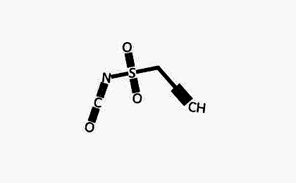 C#CCS(=O)(=O)N=C=O